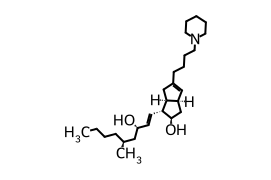 CCCC[C@H](C)C[C@H](O)/C=C/[C@@H]1[C@H]2CC(CCCCN3CCCCC3)=C[C@H]2C[C@H]1O